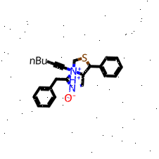 CCCCC#C[N+]12CSC(c3ccccc3)C1C[NH+]([O-])C2Cc1ccccc1